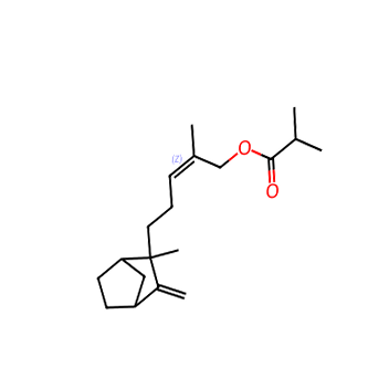 C=C1C2CCC(C2)C1(C)CC/C=C(/C)COC(=O)C(C)C